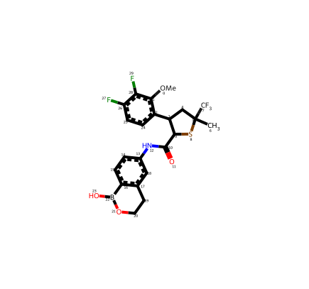 COc1c(C2CC(C)(C(F)(F)F)SC2C(=O)Nc2ccc3c(c2)CCOB3O)ccc(F)c1F